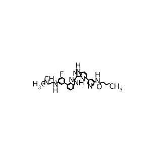 CCCCC(=O)Nc1cncc(-c2ccc3[nH]nc(-c4nc5c(-c6cc(F)cc(NCCN(C)C)c6)cccc5[nH]4)c3n2)c1